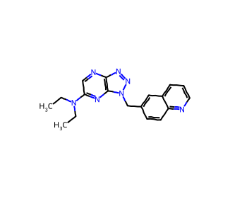 CCN(CC)c1cnc2nnn(Cc3ccc4ncccc4c3)c2n1